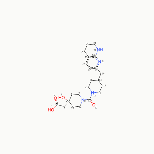 O=C(O)CC1(O)CCN(C(=O)N2CCC(Cc3ccc4c(n3)NCCC4)CC2)CC1